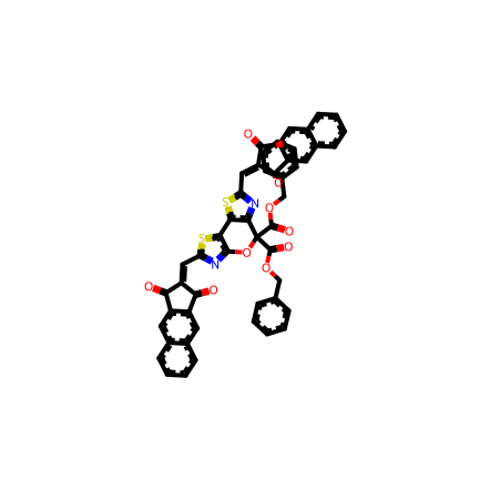 O=C1C(=Cc2nc3c(s2)-c2sc(C=C4C(=O)c5cc6ccccc6cc5C4=O)nc2C(C(=O)OCc2ccccc2)(C(=O)OCc2ccccc2)O3)C(=O)c2cc3ccccc3cc21